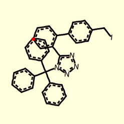 ICc1ccc(-c2ccccc2-c2nnnn2C(c2ccccc2)(c2ccccc2)c2ccccc2)cc1